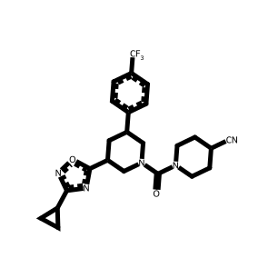 N#CC1CCN(C(=O)N2CC(c3ccc(C(F)(F)F)cc3)CC(c3nc(C4CC4)no3)C2)CC1